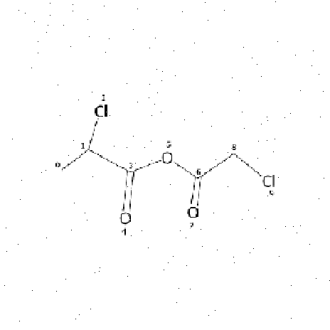 CC(Cl)C(=O)OC(=O)CCl